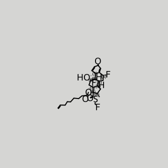 C=CCCCCCCC(=O)O[C@]1(C(=O)SCF)[C@H](C)C[C@H]2[C@@H]3C[C@H](F)C4=CC(=O)C=C[C@]4(C)[C@@]3(F)[C@@H](O)C[C@@]21C